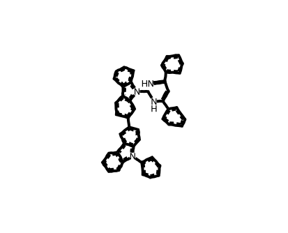 N=C(/C=C(\NCn1c2ccccc2c2ccc(-c3ccc4c(c3)c3ccccc3n4-c3ccccc3)cc21)c1ccccc1)c1ccccc1